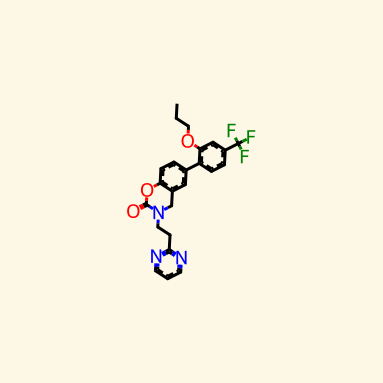 CCCOc1cc(C(F)(F)F)ccc1-c1ccc2c(c1)CN(CCc1ncccn1)C(=O)O2